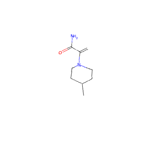 C=C(C(N)=O)N1CCC(C)CC1